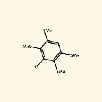 CSc1cc(SC)c(SC)c([O])c1SC